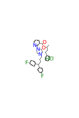 CC(CCc1ccccc1)OC(=O)c1cccnc1N1CCN(CCCC(c2ccc(F)cc2)c2ccc(F)cc2)CC1.Cl